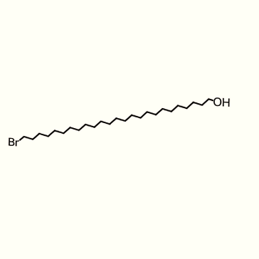 OCCCCCCCCCCCCCCCCCCCCCCCCCBr